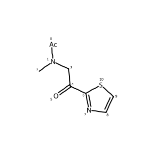 CC(=O)N(C)CC(=O)c1nccs1